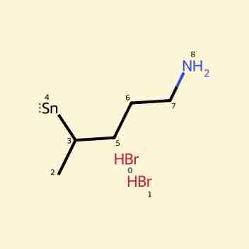 Br.Br.C[CH]([Sn])CCCN